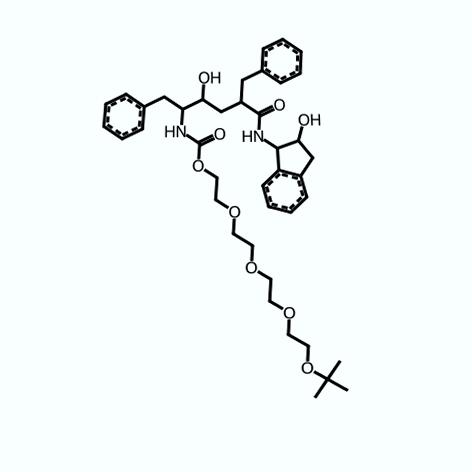 CC(C)(C)OCCOCCOCCOCCOC(=O)NC(Cc1ccccc1)C(O)CC(Cc1ccccc1)C(=O)NC1c2ccccc2CC1O